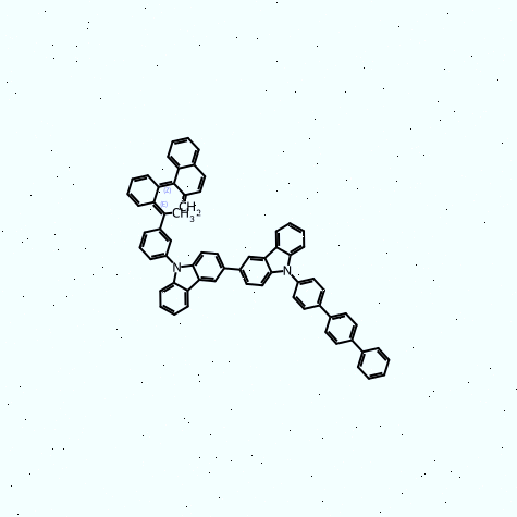 C=c1ccc2ccccc2/c1=c1\cccc\c1=C(\C)c1cccc(-n2c3ccccc3c3cc(-c4ccc5c(c4)c4ccccc4n5-c4ccc(-c5ccc(-c6ccccc6)cc5)cc4)ccc32)c1